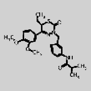 CCC1SC(=O)N(Cc2cccc(NC(=O)C(C)C)c2)N=C1c1ccc(OC)c(OC)c1